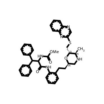 COC(=O)NC(C(=O)Nc1ccccc1CC[C@@H]1CN[C@H](C)[C@@H](CSc2cnc3ccccc3n2)O1)C(c1ccccc1)c1ccccc1